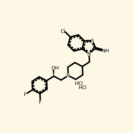 Cl.Cl.N=c1sc2cc(Cl)ccc2n1CC1CCN(C[C@H](O)c2ccc(F)c(F)c2)CC1